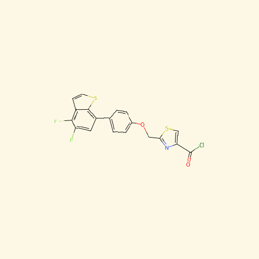 O=C(Cl)c1csc(COc2ccc(-c3cc(F)c(F)c4ccsc34)cc2)n1